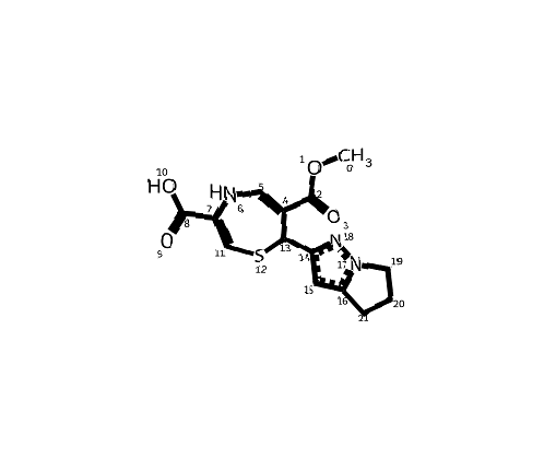 COC(=O)C1=CNC(C(=O)O)=CSC1c1cc2n(n1)CCC2